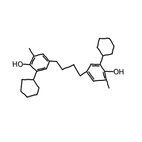 Cc1cc(CCCCc2cc(C)c(O)c(C3CCCCC3)c2)cc(C2CCCCC2)c1O